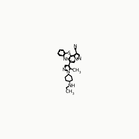 CCN[C@H]1CC[C@@H](n2ncc(-c3cc(Sc4ccccc4N)c4c(C#N)cnn4c3)c2C)CC1